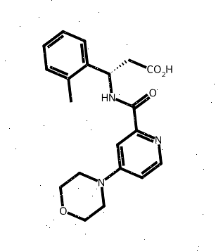 Cc1ccccc1[C@H](CC(=O)O)NC(=O)c1cc(N2CCOCC2)ccn1